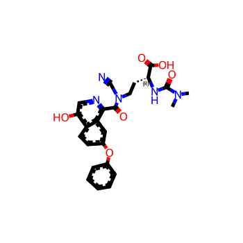 CN(C)C(=O)N[C@H](CCN(C#N)C(=O)c1ncc(O)c2ccc(Oc3ccccc3)cc12)C(=O)O